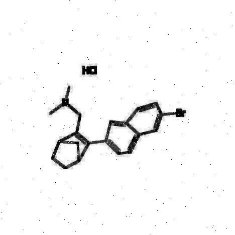 CN(C)CC1=C(c2ccc3cc(Br)ccc3c2)C2CCC1C2.Cl